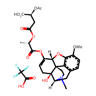 COc1ccc2c3c1O[C@H]1C(OC(=O)[C@H](C)OC(=O)C[C@H](OC(C)=O)C(=O)O)=CC[C@@]4(O)[C@@H](C2)N(C)CC[C@]314.O=C(O)C(F)(F)F